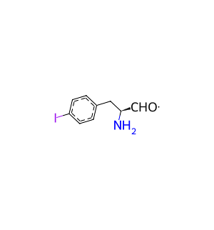 N[C@H]([C]=O)Cc1ccc(I)cc1